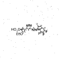 CCOc1cc(-c2cc(NCCn3c(C)cc4cc(F)c(F)c(F)c43)ncn2)sc1C(=O)O